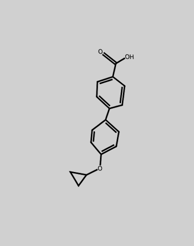 O=C(O)c1ccc(-c2ccc(OC3CC3)cc2)cc1